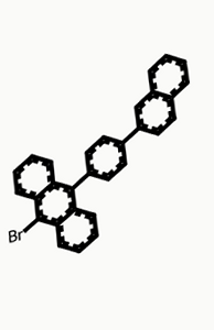 Brc1c2ccccc2c(-c2ccc(-c3ccc4ccccc4c3)cc2)c2ccccc12